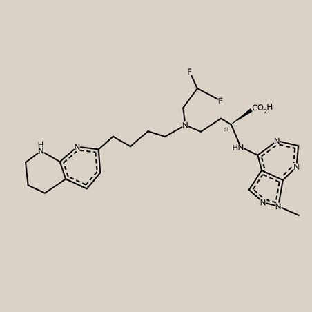 Cn1ncc2c(N[C@@H](CCN(CCCCc3ccc4c(n3)NCCC4)CC(F)F)C(=O)O)ncnc21